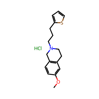 COc1ccc2c(c1)CCN(CCCc1cccs1)C2.Cl